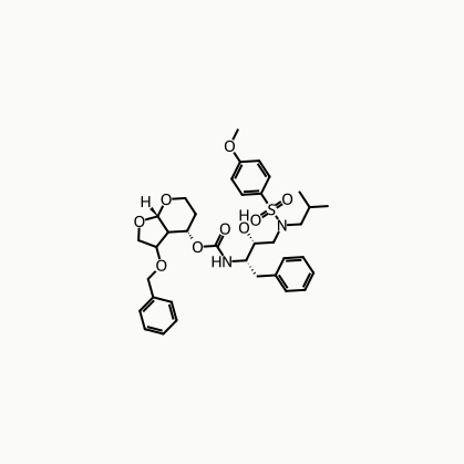 COc1ccc(S(=O)(=O)N(CC(C)C)C[C@@H](O)[C@H](Cc2ccccc2)NC(=O)O[C@H]2CCO[C@H]3OCC(OCc4ccccc4)C32)cc1